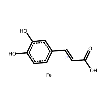 O=C(O)/C=C/c1ccc(O)c(O)c1.[Fe]